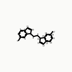 Cc1ccc2c(c1)C(CCC1C=Cc3ccc(C)cc31)C=C2